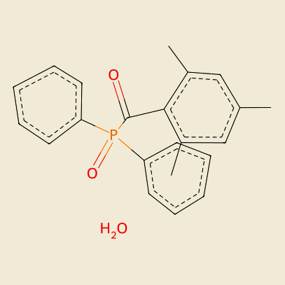 Cc1cc(C)c(C(=O)P(=O)(c2ccccc2)c2ccccc2)c(C)c1.O